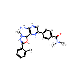 CCc1ccccc1C1=NN(C)C(c2nc(-c3ccc(C(=O)N(C)C)cc3)cnc2N)O1